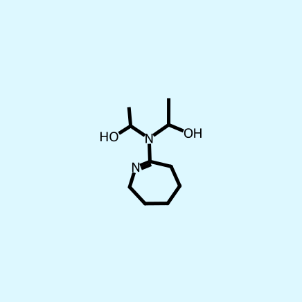 CC(O)N(C1=NCCCCC1)C(C)O